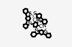 N#Cc1c(-n2c3ccccc3c3cc4c(cc32)sc2ccccc24)cc(-n2c3ccccc3c3cc4c(cc32)sc2ccccc24)c(C#N)c1-n1c2ccccc2c2ccc(C(F)(F)F)cc21